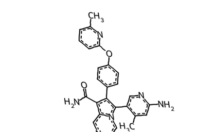 Cc1cccc(Oc2ccc(-c3c(C(N)=O)c4cnccn4c3-c3cnc(N)cc3C)cc2)n1